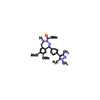 CCC1Cc2cc(OC)c(OC)cc2C(c2ccc(-c3c(C)nn(C)c3C)cc2)=NN1C(=O)NC